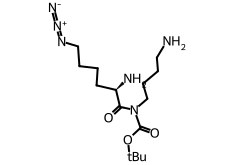 CC(C)(C)OC(=O)N(CCCCN)C(=O)[C@H](N)CCCCN=[N+]=[N-]